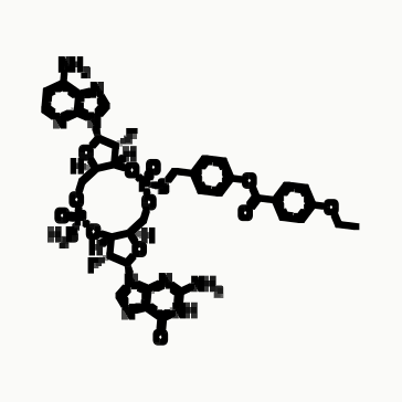 B[P@@]1(=O)OC[C@H]2O[C@@H](n3cnc4c(N)ccnc43)[C@H](F)[C@@H]2O[P@@](=O)(SCc2ccc(OC(=O)c3ccc(OCC)cc3)cc2)OC[C@H]2O[C@@H](n3cnc4c(=O)[nH]c(N)nc43)[C@H](F)[C@@H]2O1